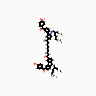 CCCCC(CC)C[C@H]1c2ccc(C(=O)CCCCCCCC(=O)c3ccc4c(c3)c3cc(C(=O)c5ccc(O)cc5)ccc3n4CC(CC)CCCC)cc2-c2cc(C(=O)c3ccc(O)cc3)ccc21